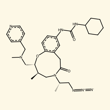 C[C@@H]1CN([C@@H](C)CN=[N+]=[N-])C(=O)Cc2cc(NC(=O)NC3CCCCC3)ccc2O[C@H]1CN(C)Cc1ccncc1